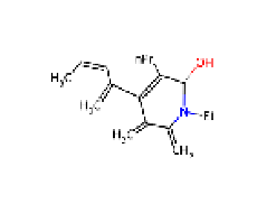 C=C(/C=C\C)C1=C(CCC)[C@H](O)N(CC)C(=C)C1=C